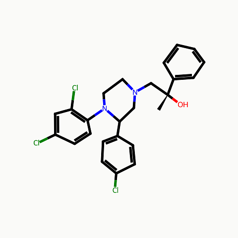 C[C@@](O)(CN1CCN(c2ccc(Cl)cc2Cl)C(c2ccc(Cl)cc2)C1)c1ccccc1